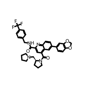 O=C(NCc1ccc(C(F)(F)F)cc1)c1cc(C(=O)N2CCC[C@H]2CN2CCCC2)c2cc(-c3ccc4c(c3)OCO4)ccc2n1